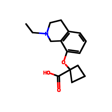 CCN1CCc2cccc(OC3(C(=O)O)CCC3)c2C1